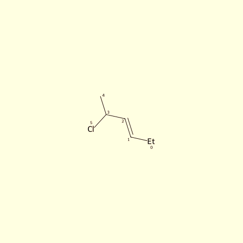 CCC=CC(C)Cl